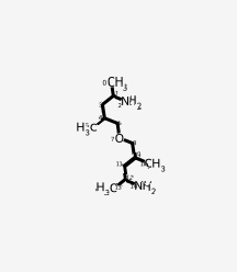 CC(N)CC(C)COCC(C)CC(C)N